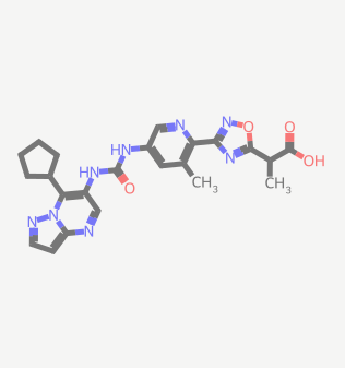 Cc1cc(NC(=O)Nc2cnc3ccnn3c2C2CCCC2)cnc1-c1noc(C(C)C(=O)O)n1